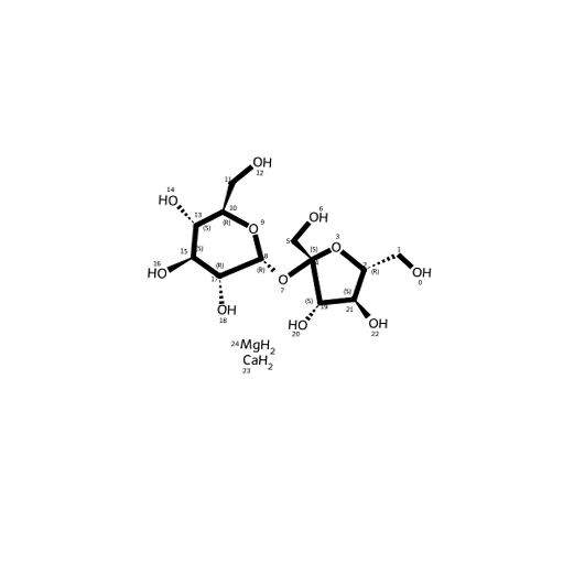 OC[C@H]1O[C@@](CO)(O[C@H]2O[C@H](CO)[C@@H](O)[C@H](O)[C@H]2O)[C@@H](O)[C@@H]1O.[CaH2].[MgH2]